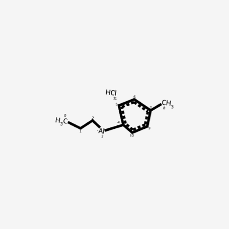 CC[CH2][Al][c]1ccc(C)cc1.Cl